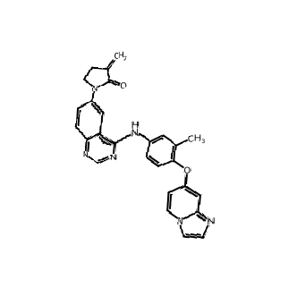 C=C1CCN(c2ccc3ncnc(Nc4ccc(Oc5ccn6ccnc6c5)c(C)c4)c3c2)C1=O